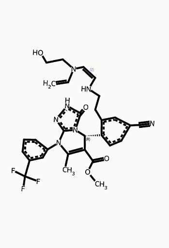 C=CN(/C=C\NCCc1cc(C#N)ccc1[C@@H]1C(C(=O)OC)=C(C)N(c2cccc(C(F)(F)F)c2)c2n[nH]c(=O)n21)CCO